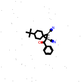 CC(C)(C)C1CCC2(CC1)[C@@H](C#N)[C@]2(C#N)C(=O)c1ccccc1